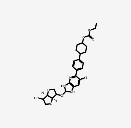 CCNC(=O)OC1CCC(c2ccc(-c3nc4c(cc3Cl)NC(OC3CO[C@@H]5C(O)CO[C@H]35)N4)cc2)CC1